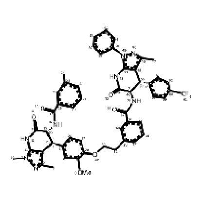 COc1cc([C@H]2c3c(C)nn(C)c3NC(=O)[C@@H]2NC(=O)c2cccc(C)c2)ccc1OCCc1cccc(C(=O)N[C@H]2C(=O)Nc3c(c(C)nn3-c3ccccc3)[C@@H]2c2ccc(C(F)(F)F)cc2)c1